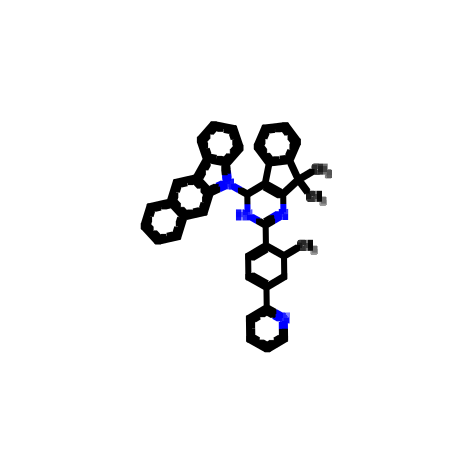 CC1CC(c2ccccn2)=CC=C1C1=NC2=C(c3ccccc3C2(C)C)C(n2c3ccccc3c3cc4ccccc4cc32)N1